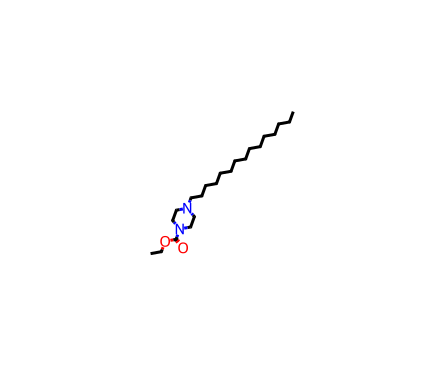 CCCCCCCCCCCCCCCN1CCN(C(=O)OCC)CC1